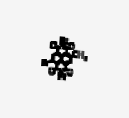 CCN1C(=O)c2cc(Br)c3c4c(cc(C)c(c24)C1=O)C(=O)N(CC)C3=O